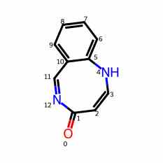 O=C1C=CNc2ccccc2C=N1